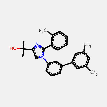 CC(C)(O)c1cn(-c2cccc(-c3cc(C(F)(F)F)cc(C(F)(F)F)c3)c2)c(-c2ccccc2C(F)(F)F)n1